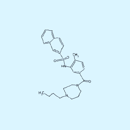 CCCCN1CCCN(C(=O)c2ccc(C)c(NS(=O)(=O)c3ccc4ccccc4c3)c2)CC1